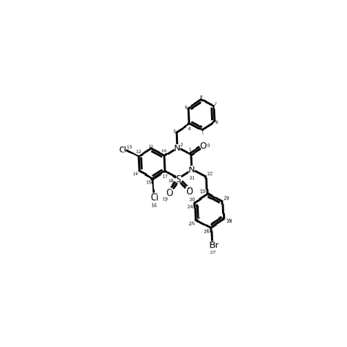 O=C1N(Cc2ccccc2)c2cc(Cl)cc(Cl)c2S(=O)(=O)N1Cc1ccc(Br)cc1